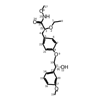 CCO[C@@H](Cc1ccc(OC[C@H](O)c2cccc(OC)c2)cc1)C(=O)NOC